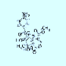 COC(=O)C1=COC(=O)[C@H]2[C@@H]1[C@H](OC(=O)c1ccc(N)cc1)[C@H](O)[C@]2(C)O